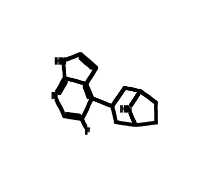 Fc1cnc2[nH]ccc2c1C1CC2CCC(C1)N2